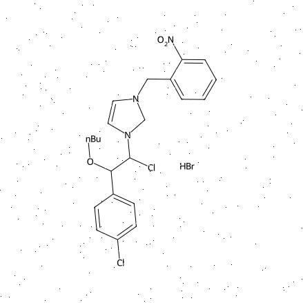 Br.CCCCOC(c1ccc(Cl)cc1)C(Cl)N1C=CN(Cc2ccccc2[N+](=O)[O-])C1